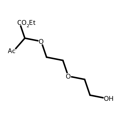 CCOC(=O)C(OCCOCCO)C(C)=O